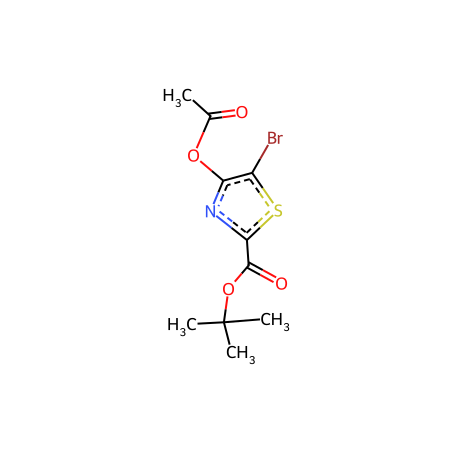 CC(=O)Oc1nc(C(=O)OC(C)(C)C)sc1Br